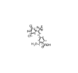 CCc1cc(C/C=C(\c2cc(Cl)c(F)c(Cl)c2)C(F)(F)F)ccc1C(=O)O